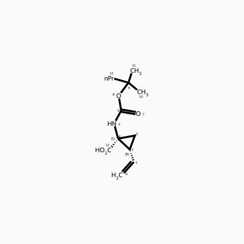 C=C[C@H]1C[C@@]1(NC(=O)OC(C)(C)CCC)C(=O)O